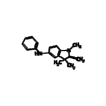 C=C1N(C)c2ccc(Nc3ccccc3)cc2C1(C)C